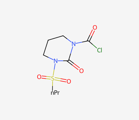 CCCS(=O)(=O)N1CCCN(C(=O)Cl)C1=O